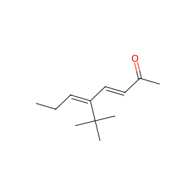 CC/C=C(/C=C/C(C)=O)C(C)(C)C